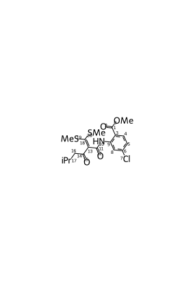 COC(=O)c1ccc(Cl)cc1NC(=O)C(C(=O)CC(C)C)=C(SC)SC